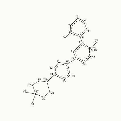 Cc1ccccc1-c1cc(-c2ccc(C3CCC(C)(C)CC3)cc2)cc[n+]1C